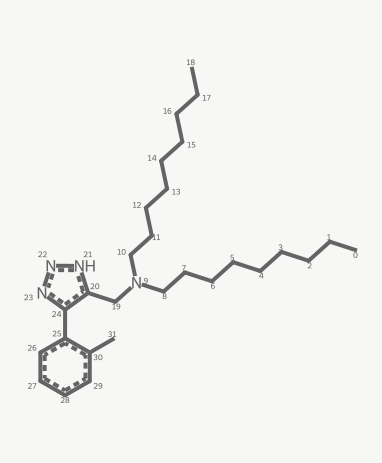 CCCCCCCCCN(CCCCCCCCC)Cc1[nH]nnc1-c1ccccc1C